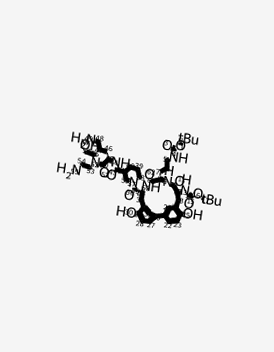 CC(C)(C)OC(=O)NCCC[C@@H]1NC(=O)[C@@H](NC(=O)OC(C)(C)C)Cc2cc(ccc2O)-c2ccc(O)c(c2)C[C@@H](C(=O)N2CCCC(C(=O)N[C@@H](CCCN)C(=O)N(CCN)CCO)C2)NC1=O